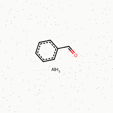 O=Cc1ccccc1.[AlH3]